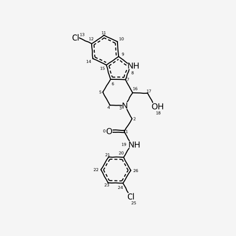 O=C(CN1CCc2c([nH]c3ccc(Cl)cc23)C1CO)Nc1cccc(Cl)c1